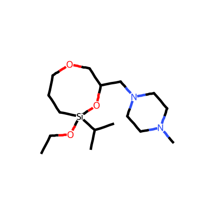 CCO[Si]1(C(C)C)CCCOCC(CN2CCN(C)CC2)O1